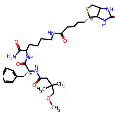 COCC(C)(C)CC(=O)N[C@H](Cc1ccccc1)C(=O)NC(CCCCNC(=O)CCCC[C@@H]1SCC2NC(=O)NC21)C(N)=O